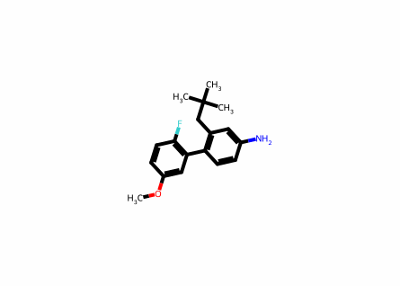 COc1ccc(F)c(-c2ccc(N)cc2CC(C)(C)C)c1